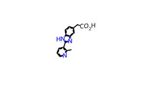 Cc1ncccc1-c1nc2cc(CC(=O)O)ccc2[nH]1